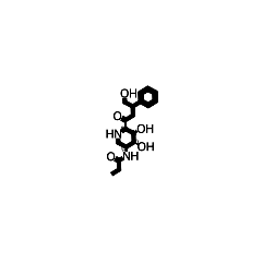 CCC(=O)N[C@H]1CN[C@@H](C(=O)CC(CO)c2ccccc2)[C@@H](O)[C@@H]1O